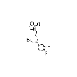 O=C1OCCN1CCCC(CBr)c1ccc(F)c(F)c1